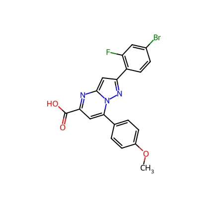 COc1ccc(-c2cc(C(=O)O)nc3cc(-c4ccc(Br)cc4F)nn23)cc1